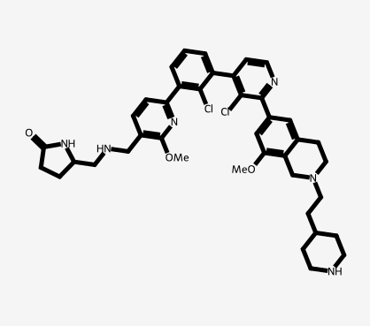 COc1cc(-c2nccc(-c3cccc(-c4ccc(CNCC5CCC(=O)N5)c(OC)n4)c3Cl)c2Cl)cc2c1CN(CCC1CCNCC1)CC2